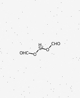 O=CO[SiH2]OC=O